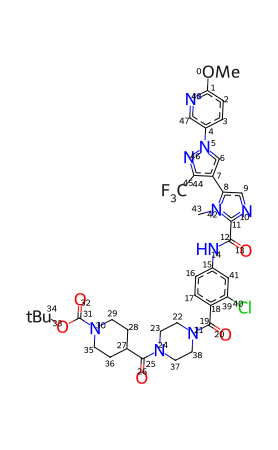 COc1ccc(-n2cc(-c3cnc(C(=O)Nc4ccc(C(=O)N5CCN(C(=O)C6CCN(C(=O)OC(C)(C)C)CC6)CC5)c(Cl)c4)n3C)c(C(F)(F)F)n2)cn1